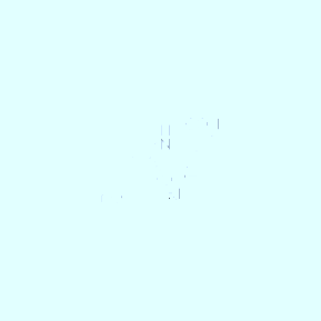 CCCCCCCCCCCC(=O)NC(C(=O)O)C(C)O.[KH]